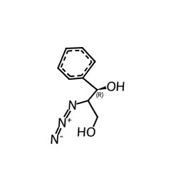 [N-]=[N+]=NC(CO)[C@H](O)c1ccccc1